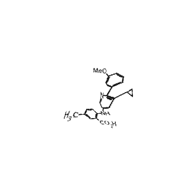 COc1cccc(-c2ncc(Nc3ccc(C)cc3C(=O)O)cc2C2CC2)c1